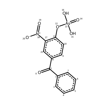 O=C(c1ccccc1)c1ccc(O[As](=O)(O)O)c([N+](=O)[O-])c1